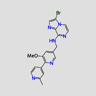 COc1cc(CNc2nccn3c(Br)cnc23)cnc1-c1ccnc(C)c1